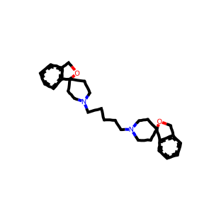 c1ccc2c(c1)COC21CCN(CCCCCN2CCC3(CC2)OCc2ccccc23)CC1